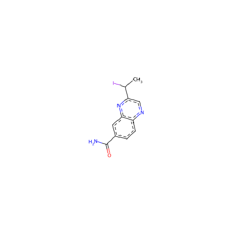 CC(I)c1cnc2ccc(C(N)=O)cc2n1